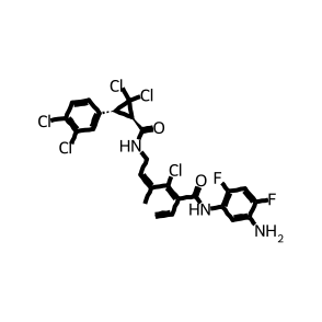 C=C/C(C(=O)Nc1cc(N)c(F)cc1F)=C(Cl)\C(C)=C/CNC(=O)[C@H]1[C@H](c2ccc(Cl)c(Cl)c2)C1(Cl)Cl